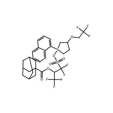 O=C(OC(C(F)(F)F)C(F)(F)S(=O)(=O)OS1(c2cccc3ccccc23)CCC(OCC(F)(F)F)C1)C12CC3CC(CC(C3)C1)C2